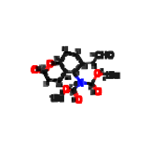 CC(C)(C)OC(=O)N(C(=O)OC(C)(C)C)c1c(CC=O)ccc2oc(=O)ccc12